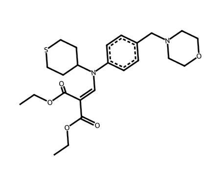 CCOC(=O)C(=CN(c1ccc(CN2CCOCC2)cc1)C1CCSCC1)C(=O)OCC